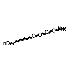 CCCCCCCCCCCCCCCCCCOCCOCCOCCOCCN=[N+]=[N-]